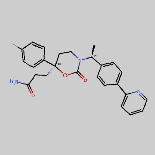 C[C@@H](c1ccc(-c2ccccn2)cc1)N1CC[C@](CCC(N)=O)(c2ccc(F)cc2)OC1=O